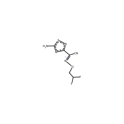 N#C/C(=N\OCC(F)F)c1nsc(N)n1